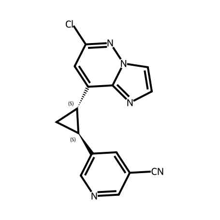 N#Cc1cncc([C@H]2C[C@@H]2c2cc(Cl)nn3ccnc23)c1